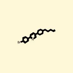 C=CCCCC1CCC(c2ccc(-c3ccc(Br)cc3)nc2)CC1